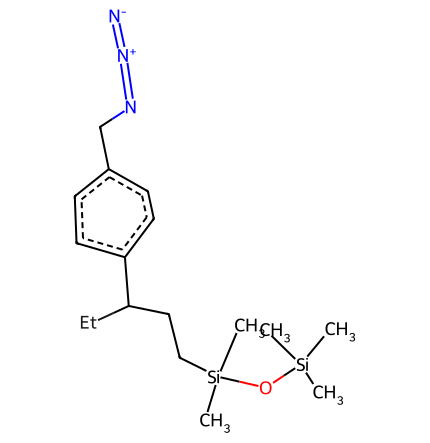 CCC(CC[Si](C)(C)O[Si](C)(C)C)c1ccc(CN=[N+]=[N-])cc1